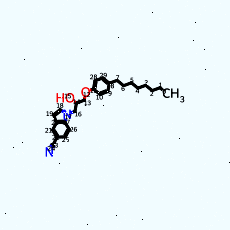 CCCCCCCCc1ccc(OCC(O)Cn2ccc3cc(C#N)ccc32)cc1